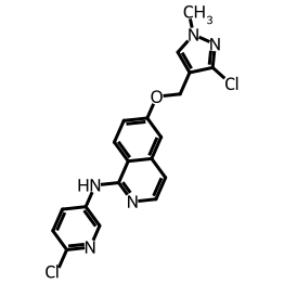 Cn1cc(COc2ccc3c(Nc4ccc(Cl)nc4)nccc3c2)c(Cl)n1